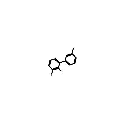 Cc1cccc(-c2cccc(F)c2F)c1